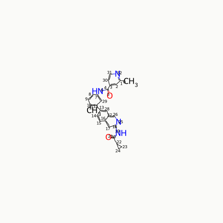 Cc1cc(C(=O)Nc2ccc(C)c(-c3ccc4cc(NC(=O)C5CC5)ncc4c3)c2)ccn1